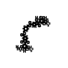 CC1(C)CC(N2C(=O)c3ccc(C(=O)OCC4CCC(COC(=O)c5ccc6c(c5)C(=O)N(C5CC(C)(C)NC(C)(C)C5)C6=O)CC4)cc3C2=O)CC(C)(C)N1